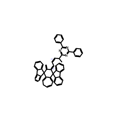 C=C1/C(=C\C=C/C(C)c2nc(-c3ccccc3)nc(-c3ccccc3)n2)C2(C3=CC=CCC=C3C13c1ccccc1-c1ccccc13)c1ccccc1-c1ccccc12